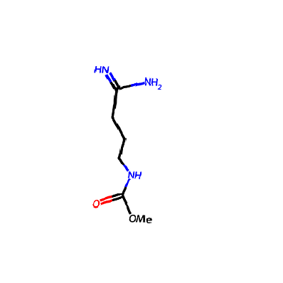 COC(=O)NCCCC(=N)N